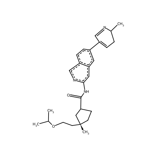 CC1CC=C(c2ccc3cnc(NC(=O)C4CC[C@](C)(CCOC(C)C)C4)cc3c2)C=N1